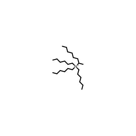 CCCCCCC(C)[N+](CCCCCC)(CCCCCC)CCCCCC